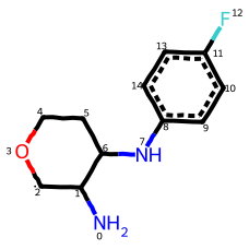 NC1[CH]OCCC1Nc1ccc(F)cc1